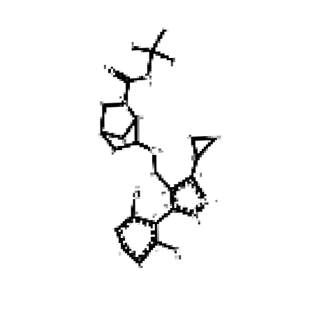 CC(C)(C)OC(=O)N1CC2CC(OCc3c(-c4c(Cl)cccc4Cl)noc3C3CC3)C1C2